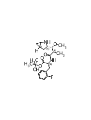 COC([C@@H]1C[C@@H]2CC2N1)[C@@H](C)C(=O)N[C@@H](Cc1ccccc1F)C(=O)OC(C)(C)C